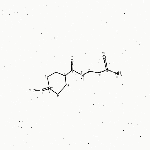 [CH2-]C=[N+]1CCC(C(=O)NCCC(N)=O)CC1